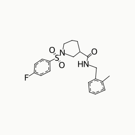 Cc1ccccc1CNC(=O)C1CCCN(S(=O)(=O)c2ccc(F)cc2)C1